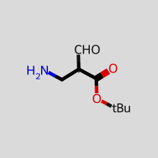 CC(C)(C)OC(=O)[C](C=O)CN